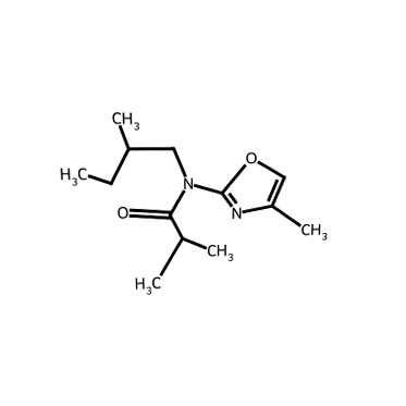 CCC(C)CN(C(=O)C(C)C)c1nc(C)co1